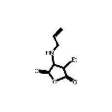 C=CCNC1C(=O)OC(=O)C1CC